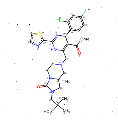 COC(=O)C1=C(CN2CCN3C(=O)N(CC(C)(C)C(=O)O)C[C@@H]3C2)NC(c2nccs2)=N[C@H]1c1ccc(F)cc1Cl